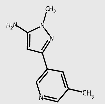 Cc1cncc(-c2cc(N)n(C)n2)c1